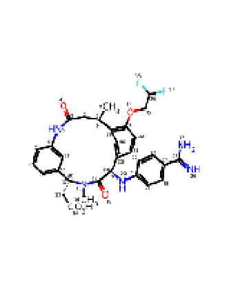 C[C@@H]1CC(=O)Nc2cccc(c2)[C@@H](CC(=O)O)N(C)C(=O)[C@H](Nc2ccc(C(=N)N)cc2)c2ccc(OCC(F)F)c1c2